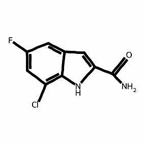 NC(=O)c1cc2cc(F)cc(Cl)c2[nH]1